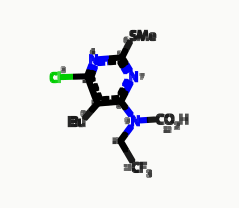 CCC(C)c1c(Cl)nc(SC)nc1N(CC(F)(F)F)C(=O)O